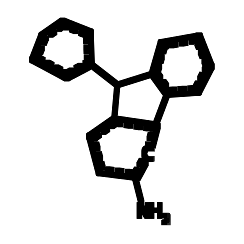 Nc1ccc2c(c1)-c1ccccc1C2c1ccccc1